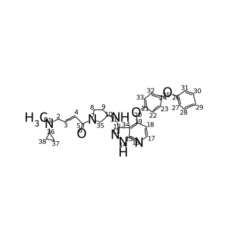 CN(CC=CC(=O)N1CC[C@@H](Nc2n[nH]c3nccc(Oc4ccc(Oc5ccccc5)cc4)c23)C1)C1CC1